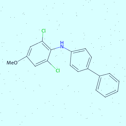 COc1cc(Cl)c(Nc2ccc(-c3ccccc3)cc2)c(Cl)c1